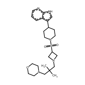 CC(C)(CN1CCOCC1)CN1CC(S(=O)(=O)N2CCC(c3c[nH]c4ncccc34)CC2)C1